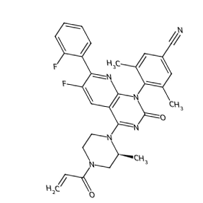 C=CC(=O)N1CCN(c2nc(=O)n(-c3c(C)cc(C#N)cc3C)c3nc(-c4ccccc4F)c(F)cc23)[C@@H](C)C1